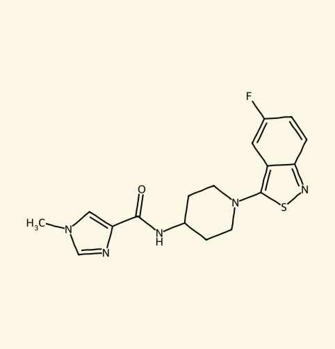 Cn1cnc(C(=O)NC2CCN(c3snc4ccc(F)cc34)CC2)c1